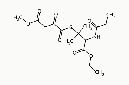 CCOC(=O)C(NC(=O)CC)C(C)(C)SC(=O)C(=O)CC(=O)OC